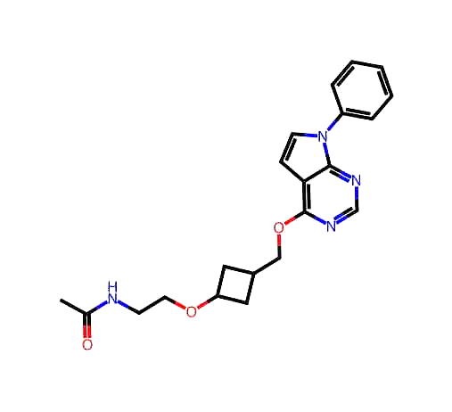 CC(=O)NCCOC1CC(COc2ncnc3c2ccn3-c2ccccc2)C1